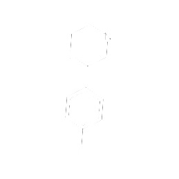 Fc1ccc([C@H]2C[N]CCO2)cc1